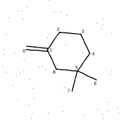 C=C1CCCC(C)(C)C1